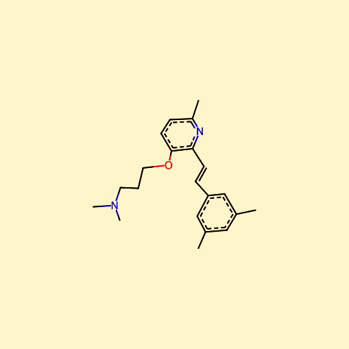 Cc1cc(C)cc(/C=C/c2nc(C)ccc2OCCCN(C)C)c1